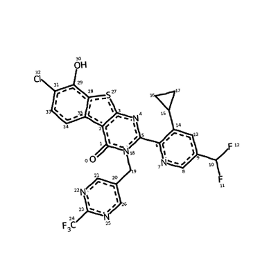 O=c1c2c(nc(-c3ncc(C(F)F)cc3C3CC3)n1Cc1cnc(C(F)(F)F)nc1)sc1c(O)c(Cl)ccc12